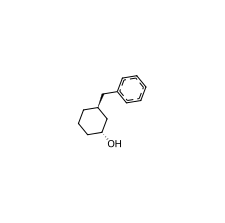 O[C@@H]1CCC[C@@H](Cc2ccccc2)C1